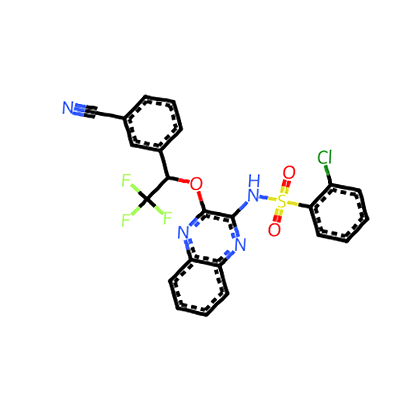 N#Cc1cccc(C(Oc2nc3ccccc3nc2NS(=O)(=O)c2ccccc2Cl)C(F)(F)F)c1